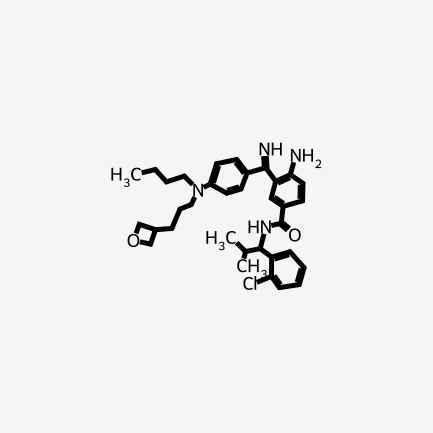 CCCCN(CCCC1COC1)c1ccc(C(=N)c2cc(C(=O)NC(c3ccccc3Cl)C(C)C)ccc2N)cc1